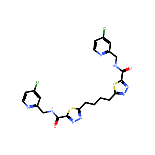 O=C(NCc1cc(Cl)ccn1)c1nnc(CCCCc2nnc(C(=O)NCc3cc(Cl)ccn3)s2)s1